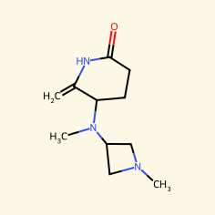 C=C1NC(=O)CCC1N(C)C1CN(C)C1